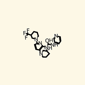 OC(Nc1cccnc1)N1c2nc(N3CCCC(C(F)(F)F)C3)ccc2N2CCC[C@H]1C2